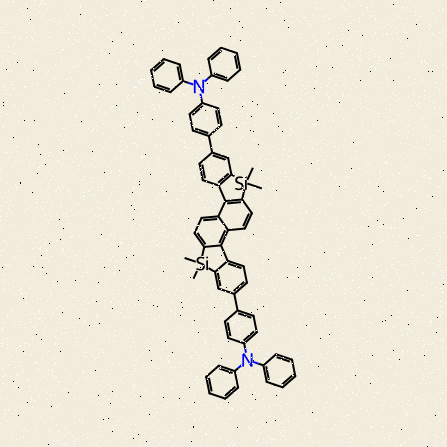 C[Si]1(C)c2cc(-c3ccc(N(c4ccccc4)c4ccccc4)cc3)ccc2-c2c1ccc1c3c(ccc21)[Si](C)(C)c1cc(-c2ccc(N(c4ccccc4)c4ccccc4)cc2)ccc1-3